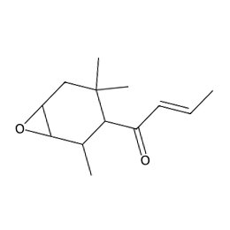 CC=CC(=O)C1C(C)C2OC2CC1(C)C